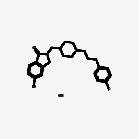 Cl.O=C1c2ccc(Br)cc2CN1CC1CCN(CCOc2ccc(F)cc2)CC1